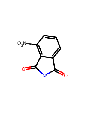 O=C1[N]C(=O)c2c1cccc2[N+](=O)[O-]